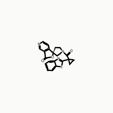 O=C1O[C@]2(CCN(C(=O)C3(c4nc5ccccc5s4)CC3)C2)c2ccncc21